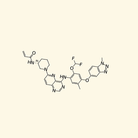 C=CC(=O)N[C@@H]1CCCN(c2ccc3ncnc(Nc4cc(C)c(Oc5ccc6c(c5)nnn6C)cc4OC(F)F)c3n2)C1